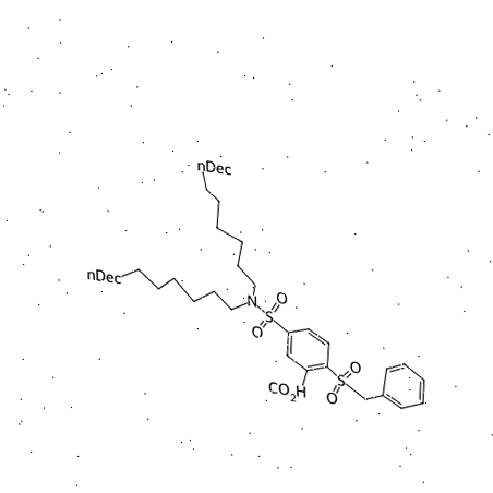 CCCCCCCCCCCCCCCCN(CCCCCCCCCCCCCCCC)S(=O)(=O)c1ccc(S(=O)(=O)Cc2ccccc2)c(C(=O)O)c1